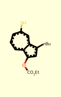 CCCCc1cc(OC(=O)OCC)c2cccc(S)cc1-2